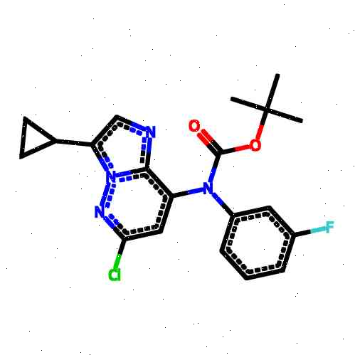 CC(C)(C)OC(=O)N(c1cccc(F)c1)c1cc(Cl)nn2c(C3CC3)cnc12